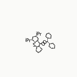 CC(C)c1cc(C(C)C)c2sc3ccccc3c(=O)c2c1.O=C(c1ccccc1)c1ccccc1